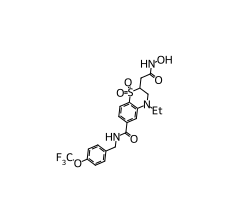 CCN1CC(CC(=O)NO)S(=O)(=O)c2ccc(C(=O)NCc3ccc(OC(F)(F)F)cc3)cc21